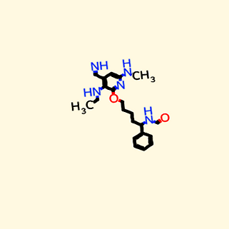 CCNc1c(C=N)cc(NC)nc1OCCCCC(NC=O)c1ccccc1